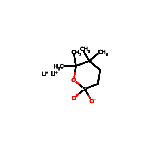 CC1(C)CC[Si]([O-])([O-])OC1(C)C.[Li+].[Li+]